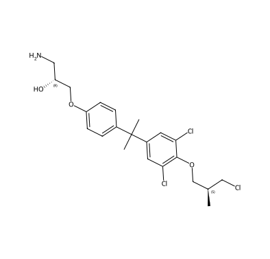 C[C@H](CCl)COc1c(Cl)cc(C(C)(C)c2ccc(OC[C@H](O)CN)cc2)cc1Cl